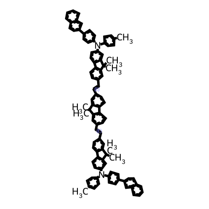 Cc1ccc(N(c2ccc(-c3ccc4ccccc4c3)cc2)c2ccc3c(c2)C(C)(C)c2cc(/C=C/c4ccc5c(c4)C(C)(C)c4cc(/C=C/c6ccc7c(c6)C(C)(C)c6cc(N(c8ccc(C)cc8)c8ccc(-c9ccc%10ccccc%10c9)cc8)ccc6-7)ccc4-5)ccc2-3)cc1